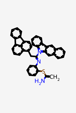 C=C(N)Sc1ccccc1/N=C(\Cc1ccc2c3c(cccc13)-c1ccccc1-2)n1c2ccccc2c2cc3ccccc3cc21